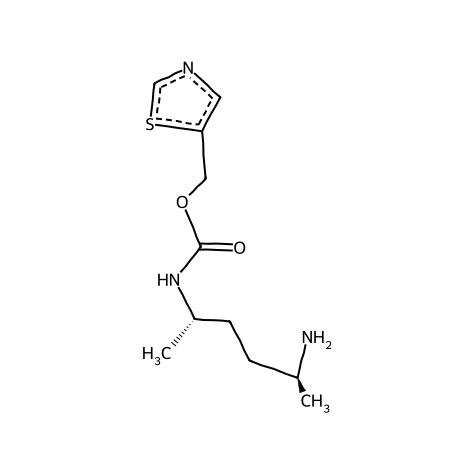 C[C@H](N)CC[C@H](C)NC(=O)OCc1cncs1